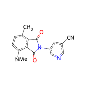 CNc1ccc(C)c2c1C(=O)N(c1cncc(C#N)c1)C2=O